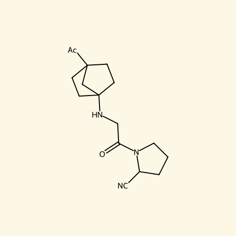 CC(=O)C12CCC(NCC(=O)N3CCCC3C#N)(CC1)C2